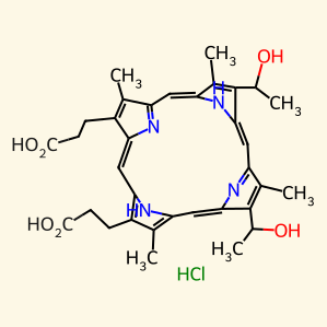 CC1=C(CCC(=O)O)c2cc3[nH]c(cc4nc(cc5[nH]c(cc1n2)c(C)c5C(C)O)C(C)=C4C(C)O)c(C)c3CCC(=O)O.Cl